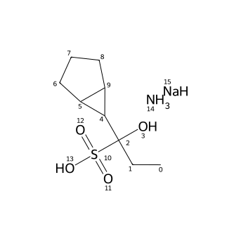 CCC(O)(C1C2CCCC21)S(=O)(=O)O.N.[NaH]